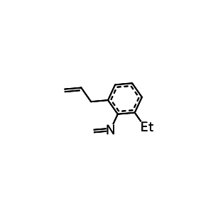 C=CCc1cccc(CC)c1N=C